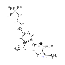 C/C=C1/CCC(c2ccc(OCCCC(F)(F)F)cc2CC)NC1=O